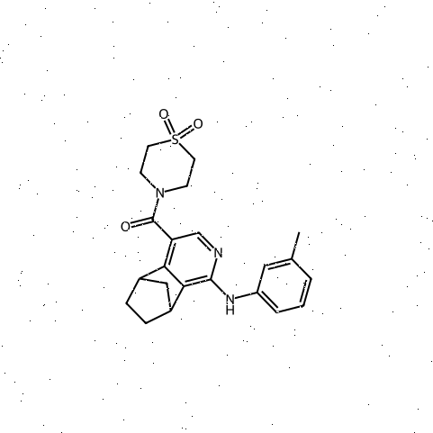 Cc1cccc(Nc2ncc(C(=O)N3CCS(=O)(=O)CC3)c3c2C2CCC3C2)c1